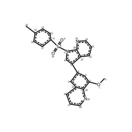 COc1cc(-c2cn(S(=O)(=O)c3ccc(C)cc3)c3ncccc23)cc2cccnc12